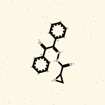 O=C(C(=NOC(=O)C1CO1)c1ccccc1)c1ccccc1